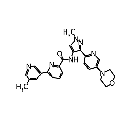 Cc1cncc(-c2cccc(C(=O)Nc3cn(C)nc3-c3ccc(N4CCOCC4)cn3)n2)c1